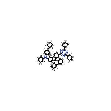 c1ccc(-c2ccc3c(c2)c2cc(C4(c5cccc(-c6nc(-c7ccccc7)nc(-c7ccccc7)n6)c5)c5ccccc5-c5ccccc54)ccc2n3-c2ccccc2)cc1